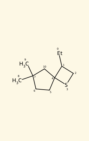 CCC1CSC12CCC(C)(C)C2